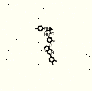 Cc1ccc(NC(=O)C2(C(=O)Nc3ccc(Oc4ccnc5cc(-c6ccc(C)c(C)c6)ncc45)c(F)c3)CC2)cc1